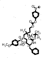 COc1ccc(S(=O)(=O)N(C[C@@H](O)[C@H](Cc2ccccc2)NC(=O)OC(C)(C)C)CC(C)(C)CCOC(=O)Oc2ccc([N+](=O)[O-])cc2)cc1